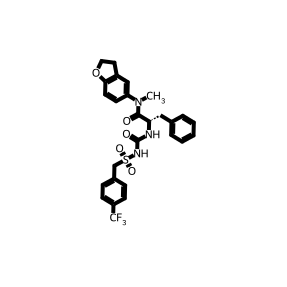 CN(C(=O)[C@H](Cc1ccccc1)NC(=O)NS(=O)(=O)Cc1ccc(C(F)(F)F)cc1)c1ccc2c(c1)CCO2